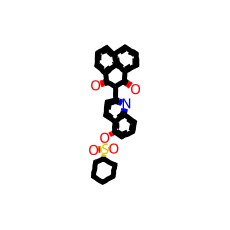 O=C1c2cccc3cccc(c23)C(=O)C1c1ccc2c(OS(=O)(=O)C3CCCCC3)cccc2n1